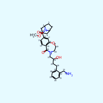 COC1CC2CCC(C1)N2C(=O)c1ccc2c(c1)OCCN(CC(O)CCc1ccccc1CN)C2=O